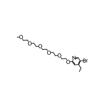 CCc1cc(OCCOCCOCCOCCOCCOC)ncc1Br